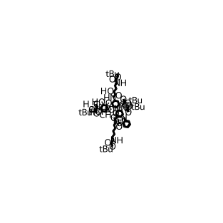 CN(C(=O)OC(C)(C)C)[C@@H]1[C@@H](O)[C@@H](O[C@@H]2[C@@H](O)[C@H](C3OC(CN(CCCCCNC(=O)OC(C)(C)C)S(=O)(=O)c4ccccc4[N+](=O)[O-])=CC[C@H]3NC(=O)OC(C)(C)C)[C@@H](NC(=O)OC(C)(C)C)C[C@H]2NC(=O)[C@@H](O)CCNC(=O)OC(C)(C)C)OC[C@]1(C)O